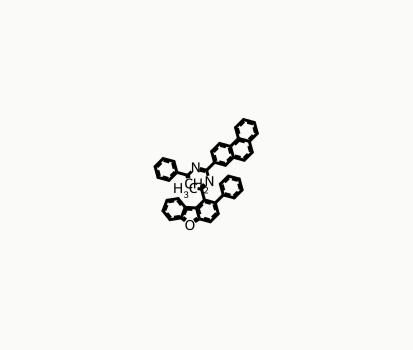 C=C(/N=C(\N=C(/C)c1c(-c2ccccc2)ccc2oc3ccccc3c12)c1ccc2c(ccc3ccccc32)c1)c1ccccc1